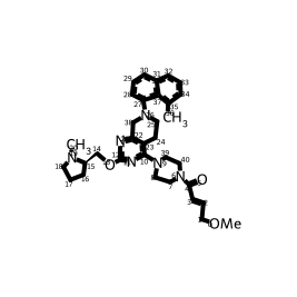 COC/C=C/C(=O)N1CCN(c2nc(OC[C@H]3CCCN3C)nc3c2CCN(c2cccc4cccc(C)c24)C3)CC1